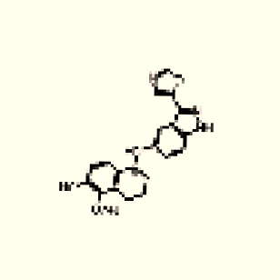 COc1c(C#N)ccc2c1CCC[C@@H]2Nc1ccc2[nH]nc(-c3cnco3)c2c1